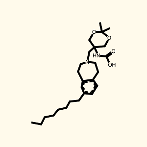 CCCCCCCCc1ccc2c(c1)CCN(CC1(NC(=O)O)COC(C)(C)OC1)CC2